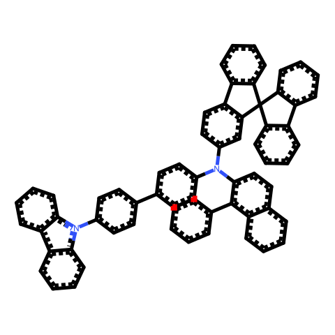 c1ccc(-c2c(N(c3ccc(-c4ccc(-n5c6ccccc6c6ccccc65)cc4)cc3)c3ccc4c(c3)C3(c5ccccc5-c5ccccc53)c3ccccc3-4)ccc3ccccc23)cc1